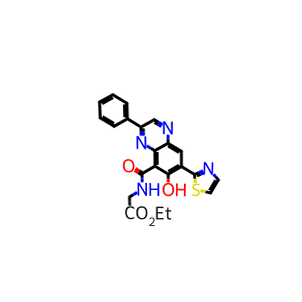 CCOC(=O)CNC(=O)c1c(O)c(-c2nccs2)cc2ncc(-c3ccccc3)nc12